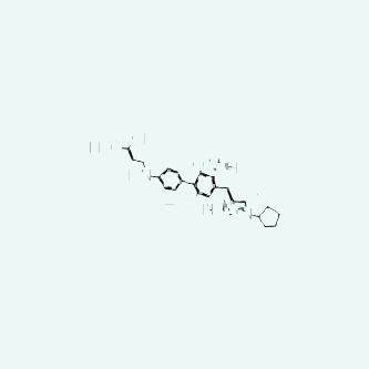 COc1c(C)c(-c2ccc(NCC=C(C)C)cc2)c(OC)c(C)c1/C=C(\C)C(=O)NC1CCCC1